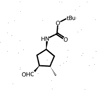 C[C@H]1C[C@H](NC(=O)OC(C)(C)C)C[C@@H]1C=O